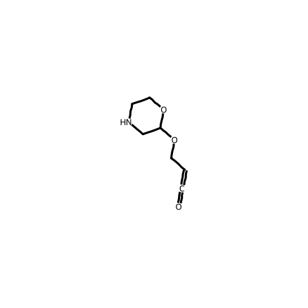 O=C=CCOC1CNCCO1